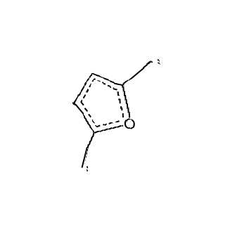 [CH]c1ccc([CH])o1